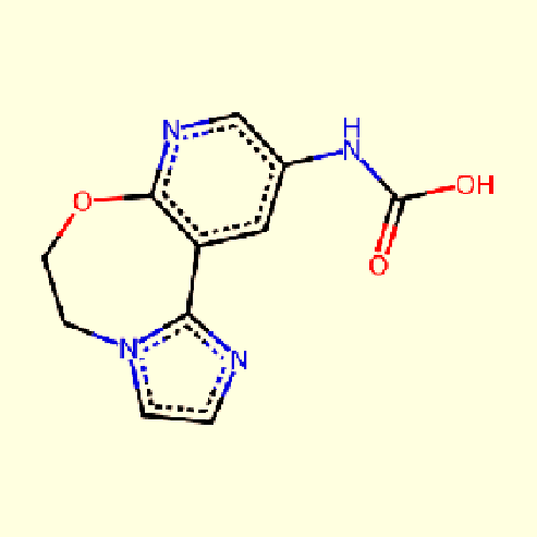 O=C(O)Nc1cnc2c(c1)-c1nccn1CCO2